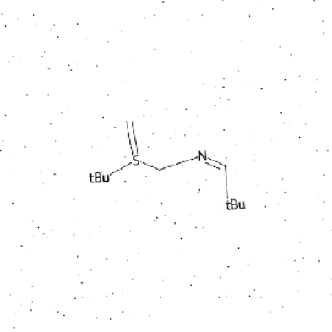 C=S(C/N=C\C(C)(C)C)C(C)(C)C